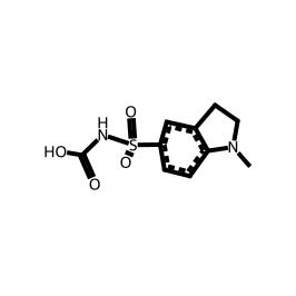 CN1CCc2cc(S(=O)(=O)NC(=O)O)ccc21